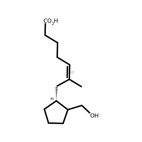 C/C(=C/CCCC(=O)O)C[C@H]1CCCC1CO